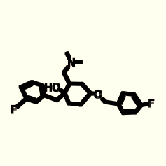 CN(C)CC1CC(OCc2ccc(F)cc2)CCC1(O)Cc1cccc(F)c1